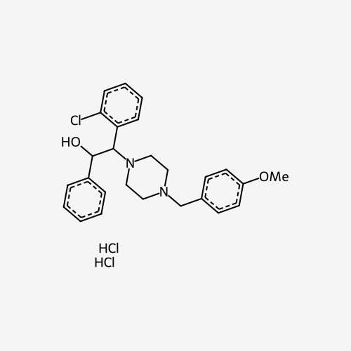 COc1ccc(CN2CCN(C(c3ccccc3Cl)C(O)c3ccccc3)CC2)cc1.Cl.Cl